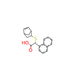 O=C(O)C(SC1CC2C=CC1C2)c1cccc2ccccc12